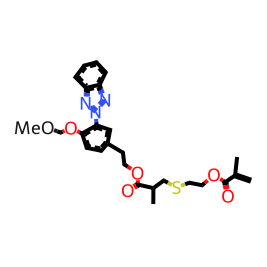 C=C(C)C(=O)OCCSCC(C)C(=O)OCCc1ccc(OCOC)c(-n2nc3ccccc3n2)c1